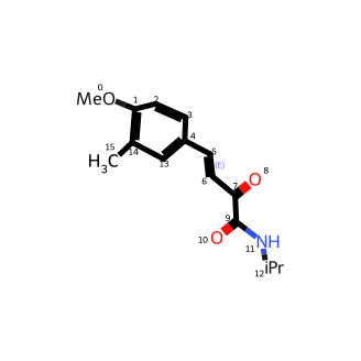 COc1ccc(/C=C/C(=O)C(=O)NC(C)C)cc1C